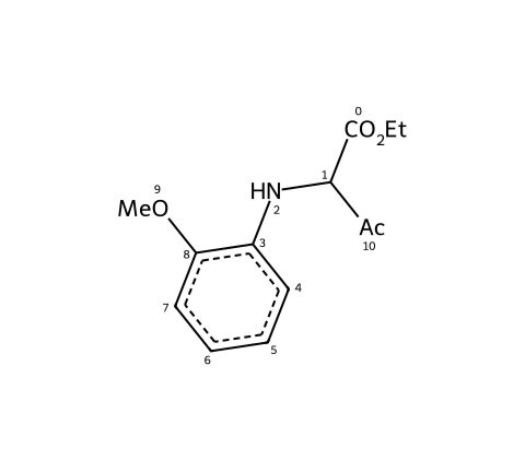 CCOC(=O)C(Nc1ccccc1OC)C(C)=O